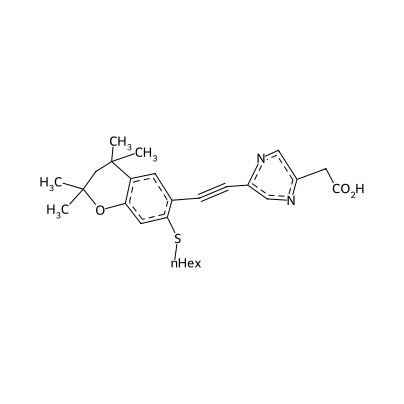 CCCCCCSc1cc2c(cc1C#Cc1cnc(CC(=O)O)cn1)C(C)(C)CC(C)(C)O2